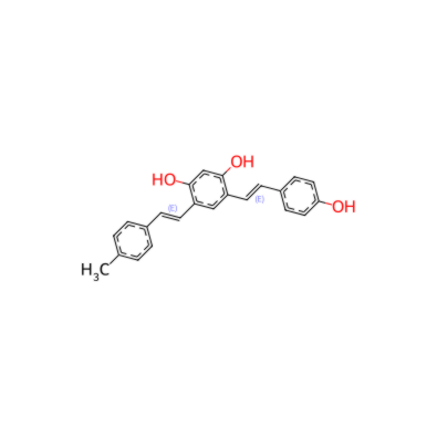 Cc1ccc(/C=C/c2cc(/C=C/c3ccc(O)cc3)c(O)cc2O)cc1